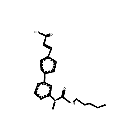 CCCCCNC(=O)N(C)c1cccc(-c2ccc(/C=C/C(=O)O)cc2)c1